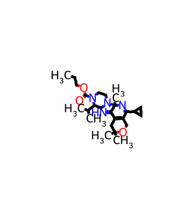 CCCOC(=O)N1CCN(C2(C)N=C(C3CC3)C3=C(CC(C)(C)OC3)C2=N)CC1C(C)C